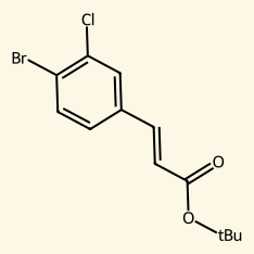 CC(C)(C)OC(=O)/C=C/c1ccc(Br)c(Cl)c1